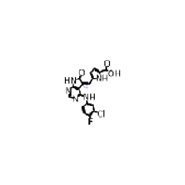 O=C1Nc2ncnc(Nc3ccc(F)c(Cl)c3)c2/C1=C/c1ccc(C(=O)O)[nH]1